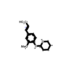 COc1cc(/C=C/C(=O)O)ccc1OC1CCCCO1